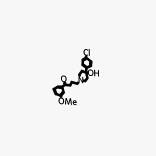 COc1cccc(C(=O)CCCN2CCC(O)(c3ccc(Cl)cc3)CC2)c1